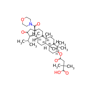 CC(C)C1=C2[C@H]3CC[C@@H]4[C@@]5(C)CC[C@H](OC(=O)CC(C)(C)C(=O)O)C(C)(C)[C@@H]5CC[C@@]4(C)[C@]3(C)CC[C@@]2(C(=O)N2CCOCC2)CC1=O